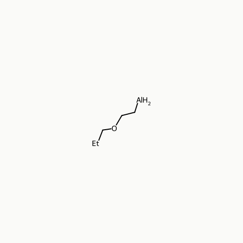 CCCOC[CH2][AlH2]